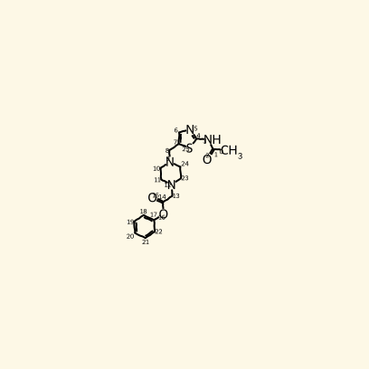 CC(=O)Nc1ncc(CN2CCN(CC(=O)Oc3ccccc3)CC2)s1